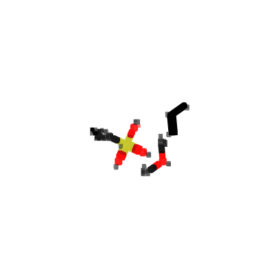 C=CC.CCOCC.COS(=O)(=O)[O-].[Na+]